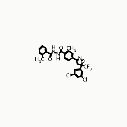 Cc1ccccc1C(=O)NNC(=O)c1ccc(C2=NOC(c3cc(Cl)cc(Cl)c3)(C(F)(F)F)C2)cc1C